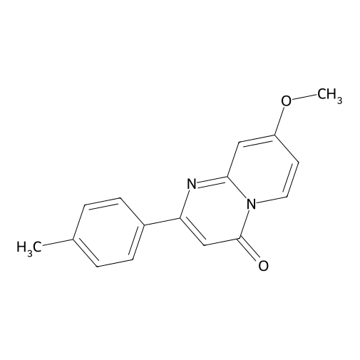 COc1ccn2c(=O)cc(-c3ccc(C)cc3)nc2c1